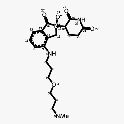 CNCCCOCCCNc1cccc2c1C[N+]([O-])(C1CCC(=O)NC1=O)C2=O